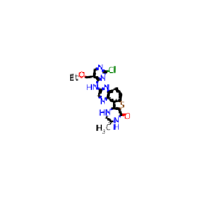 CCOCc1cnc(Cl)nc1Nc1cnc2c(ccc3sc4c(c32)NC[C@@H](C)NC4=O)n1